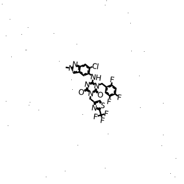 Cn1cc2cc(Nc3nc(=O)n(Cc4csc(C(F)(F)F)n4)c(=O)n3Cc3cc(F)c(F)cc3F)c(Cl)cc2n1